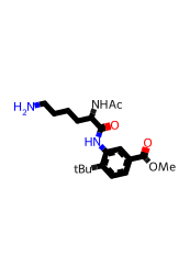 COC(=O)c1ccc(C(C)(C)C)c(NC(=O)C(CCCCN)NC(C)=O)c1